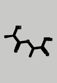 COC(=O)C(C)OC(=O)[C@@H](C)O